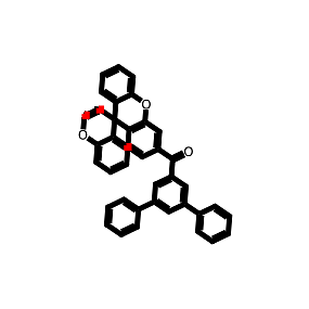 O=C(c1cc(-c2ccccc2)cc(-c2ccccc2)c1)c1ccc2c(c1)Oc1ccccc1C21c2ccccc2Oc2ccccc21